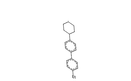 CCc1ccc(-c2ccc(C3CC[CH]CC3)cc2)cc1